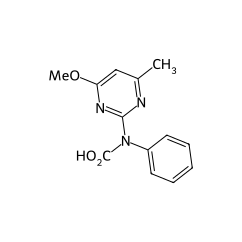 COc1cc(C)nc(N(C(=O)O)c2ccccc2)n1